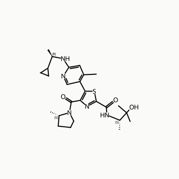 Cc1cc(N[C@H](C)C2CC2)ncc1-c1sc(C(=O)N[C@@H](C)C(C)(C)O)nc1C(=O)N1CCC[C@@H]1C